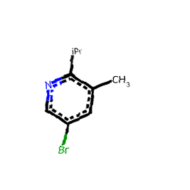 Cc1cc(Br)cnc1C(C)C